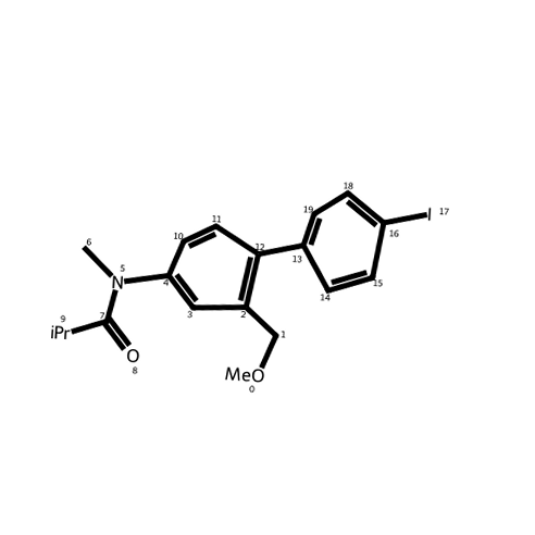 COCc1cc(N(C)C(=O)C(C)C)ccc1-c1ccc(I)cc1